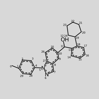 Cc1ccc(-n2ncc3cc(C(O)c4ccccc4C4CCCCC4)ccc32)cc1